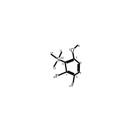 COc1ccc(F)c(F)c1[Si](C)(C)C